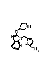 Cc1ccc(Cn2c(NC3CCNC3)nc3cccnc32)o1